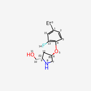 CCc1ccc(O[C@H]2CN[C@H](CO)C2)c(F)c1